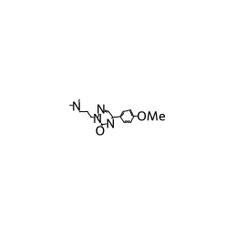 COc1ccc(-c2cnn(CCCN(C)C)c(=O)n2)cc1